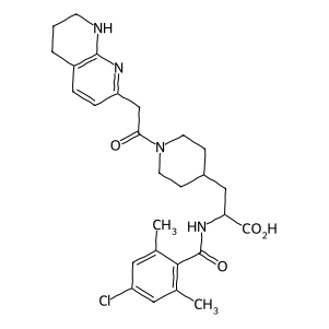 Cc1cc(Cl)cc(C)c1C(=O)NC(CC1CCN(C(=O)Cc2ccc3c(n2)NCCC3)CC1)C(=O)O